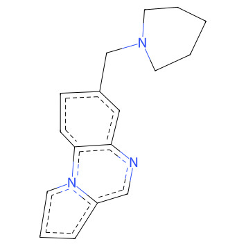 c1cc2cnc3cc(CN4CCCCC4)ccc3n2c1